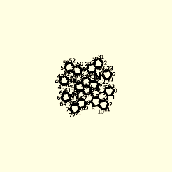 c1ccc(C(c2cccc3ccccc23)c2cc(N(c3ccccc3)c3cccc4ccccc34)c3ccc4c(N(c5ccccc5)c5cccc6ccccc56)cc(N(c5ccccc5)c5cccc6ccccc56)c5ccc2c3c54)cc1